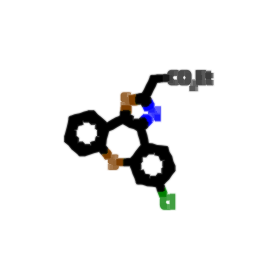 CCOC(=O)Cc1nc2c(s1)-c1ccccc1Sc1cc(Cl)ccc1-2